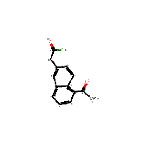 COC(=O)c1cccc2cc(CC(=O)Cl)ccc12